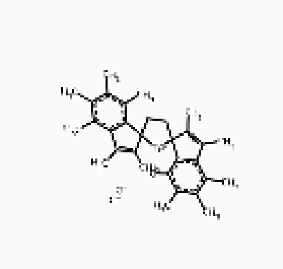 CC1=C(C)[C]2(CC[C]3([Ti+2]2)C(C)=C(C)c2c(C)c(C)c(C)c(C)c23)c2c(C)c(C)c(C)c(C)c21.[Cl-].[Cl-]